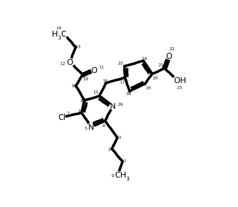 CCCCc1nc(Cl)c(CC(=O)OCC)c(Cc2ccc(C(=O)O)cc2)n1